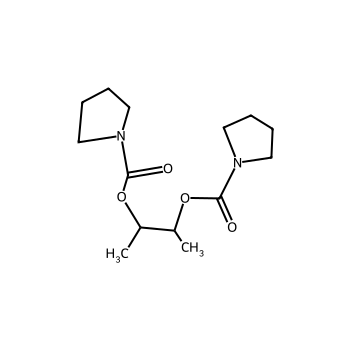 CC(OC(=O)N1CCCC1)C(C)OC(=O)N1CCCC1